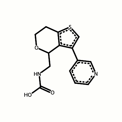 O=C(O)NCC1OCCc2scc(-c3cccnc3)c21